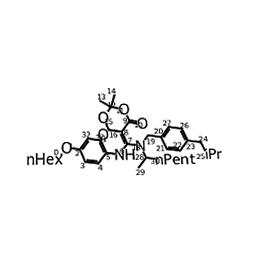 CCCCCCOc1ccc(NC(=C2C(=O)OC(C)(C)OC2=O)N(Cc2ccc(CC(C)C)cc2)C(C)CCCCC)cc1